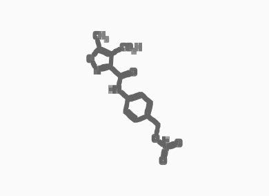 Cc1onc(C(=O)Nc2ccc(CO[SH](=O)=O)cc2)c1C(=O)O